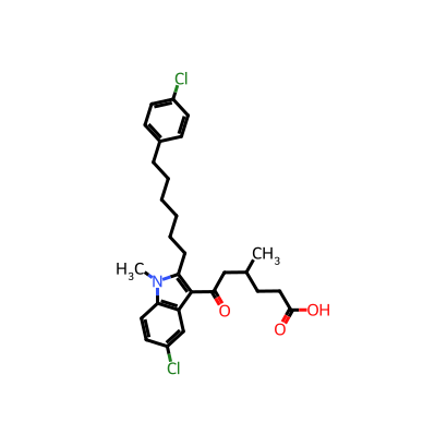 CC(CCC(=O)O)CC(=O)c1c(CCCCCCc2ccc(Cl)cc2)n(C)c2ccc(Cl)cc12